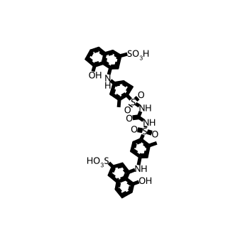 Cc1cc(Nc2cc(S(=O)(=O)O)cc3cccc(O)c23)ccc1S(=O)(=O)NC(=O)NS(=O)(=O)c1ccc(Nc2cc(S(=O)(=O)O)cc3cccc(O)c23)cc1C